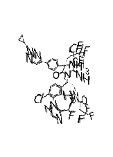 CC(C)(C[C@]1(c2ccc(-c3cnn(C4CC4)n3)cc2)NC(=N)N([C@H](CNC(=O)CC(F)(F)F)c2ccc(Cl)c(-n3ncnc3C(F)F)c2)C1=O)C(F)(F)F